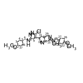 COc1ccc(CNc2cc(-c3cnc4cc(N(C)Cc5ccc(OC)cc5)ncc4c3)c(Cl)nn2)cc1